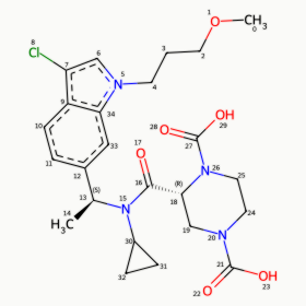 COCCCn1cc(Cl)c2ccc([C@H](C)N(C(=O)[C@H]3CN(C(=O)O)CCN3C(=O)O)C3CC3)cc21